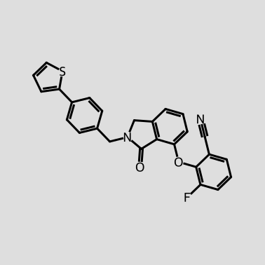 N#Cc1cccc(F)c1Oc1cccc2c1C(=O)N(Cc1ccc(-c3cccs3)cc1)C2